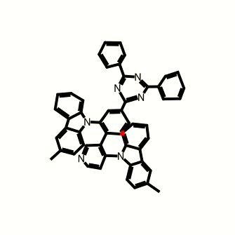 Cc1ccc2c(c1)c1ccccc1n2-c1ccncc1-c1ccc(-c2nc(-c3ccccc3)nc(-c3ccccc3)n2)cc1-n1c2ccccc2c2cc(C)ccc21